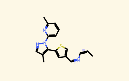 C/C=C\N=C/c1csc(-c2c(C)cnn2-c2cccc(C)n2)c1